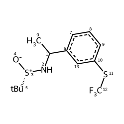 CC(N[S@@+]([O-])C(C)(C)C)c1cccc(SC(F)(F)F)c1